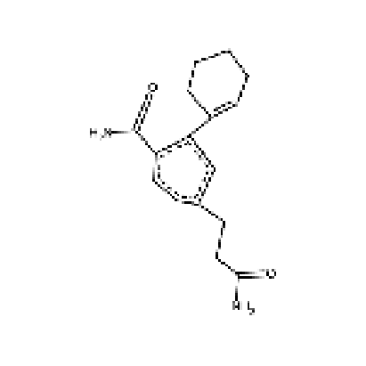 NC(=O)CCc1ccc(C(N)=O)c(C2=CCCCC2)c1